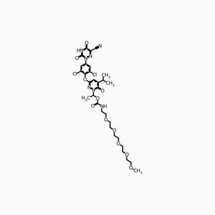 COCCOCCOCCOCCOCCNC(=O)OC(C)n1nc(Oc2c(Cl)cc(-n3nc(C#N)c(=O)[nH]c3=O)cc2Cl)cc(C(C)C)c1=O